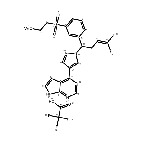 COCCS(=O)(=O)c1cccc(C(CC=C(F)F)n2cc(-c3ncnc4[nH]ccc34)cn2)c1.O=C(O)C(F)(F)F